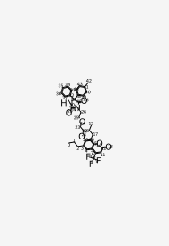 CCCc1cc2c(C(F)(F)F)cc(=O)oc2c(CCC)c1OCCOCCN1C(=O)NC(c2ccccc2)(c2ccc(C)cc2)C1=O